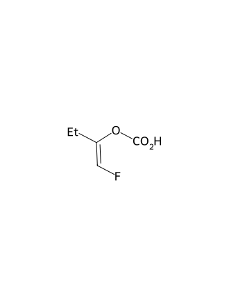 CCC(=CF)OC(=O)O